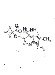 Cc1cc2c(/C(N)=N\OC(=O)C3(O)CCC3)ccnc2n1C